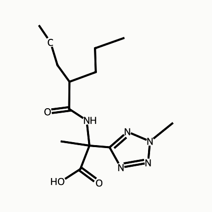 CCCC(CCC)C(=O)NC(C)(C(=O)O)c1nnn(C)n1